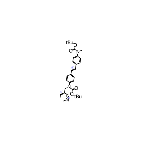 C/C=C(CN(C(=O)OC(C)(C)C)c1ccc(/C=C/c2ccc(N(C)C(=O)OC(C)(C)C)cc2)cc1)\N=N/C